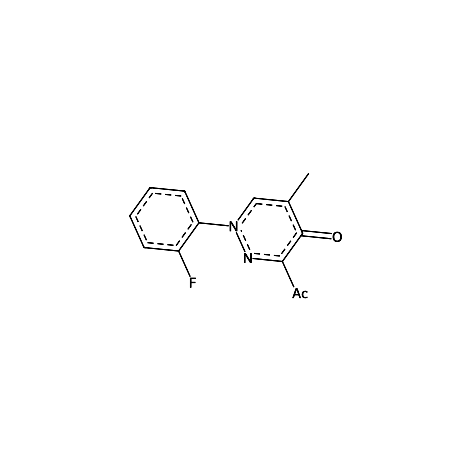 CC(=O)c1nn(-c2ccccc2F)cc(C)c1=O